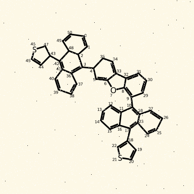 C1=CC2C(C3C=c4oc5c(-c6c7ccccc7c(-c7ccsc7)c7ccccc67)cccc5c4=CC3)=c3ccccc3=C(C3C=CSC3)C2C=C1